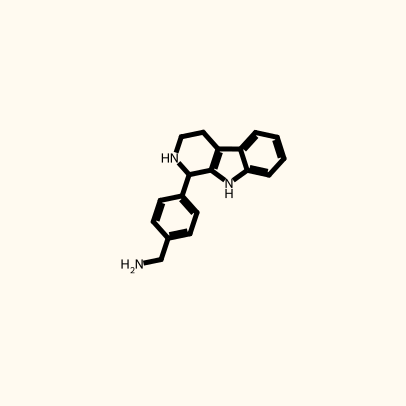 NCc1ccc(C2NCCc3c2[nH]c2ccccc32)cc1